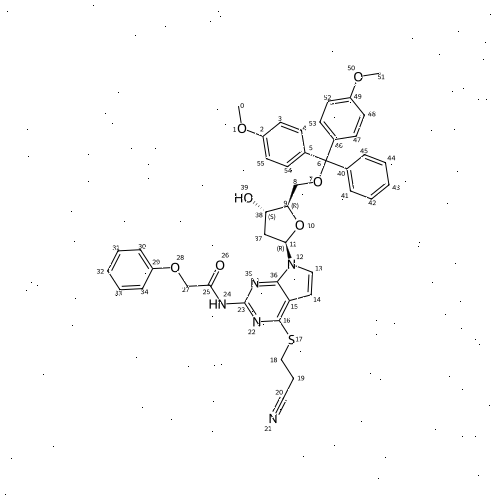 COc1ccc(C(OC[C@H]2O[C@@H](n3ccc4c(SCCC#N)nc(NC(=O)COc5ccccc5)nc43)C[C@@H]2O)(c2ccccc2)c2ccc(OC)cc2)cc1